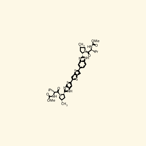 COC(=O)N[C@H](C(=O)N1C[C@@H](C)C[C@H]1c1nc2cc(-c3cc4sc(-c5cc6[nH]c([C@@H]7C[C@H](C)CN7C(=O)[C@@H](NC(=O)OC)C(C)C)nc6s5)cc4s3)ccc2[nH]1)C(C)C